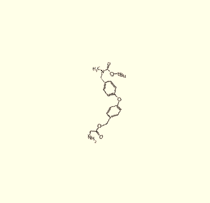 CN(Cc1ccc(Oc2ccc(COC(=O)CN)cc2)cc1)C(=O)OC(C)(C)C